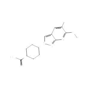 COc1nc2nn([C@H]3CC[C@H](C(=O)O)CC3)cc2cc1Br